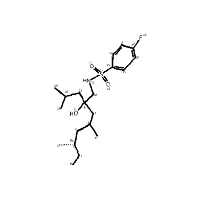 CC[C@H](C)CC(C)CC(O)(CNS(=O)(=O)c1ccc(F)cc1)CC(C)C